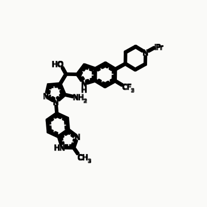 Cc1nc2cc(-n3ncc(C(O)c4cc5cc(C6CCN(C(C)C)CC6)c(C(F)(F)F)cc5[nH]4)c3N)ccc2[nH]1